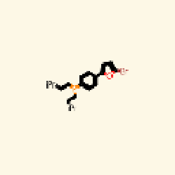 CC(C)CCP(CCC(C)C)c1ccc(-c2ccc(Br)o2)cc1